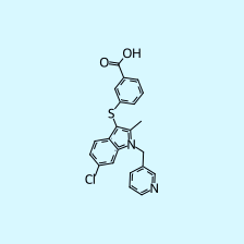 Cc1c(Sc2cccc(C(=O)O)c2)c2ccc(Cl)cc2n1Cc1cccnc1